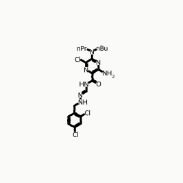 CCCCN(CCC)c1nc(N)c(C(=O)N/C=N/NCc2ccc(Cl)cc2Cl)nc1Cl